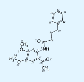 COc1cc(NC(=O)CCCc2cc[c]cc2)c(C(C)=O)cc1OC